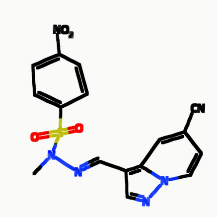 CN(N=Cc1cnn2ccc(C#N)cc12)S(=O)(=O)c1ccc([N+](=O)[O-])cc1